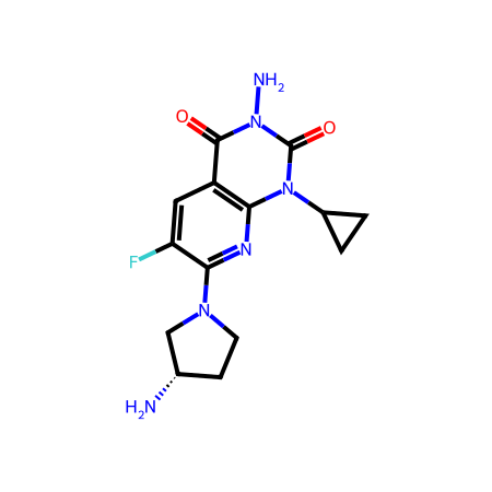 N[C@H]1CCN(c2nc3c(cc2F)c(=O)n(N)c(=O)n3C2CC2)C1